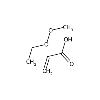 C=CC(=O)O.CCOOC